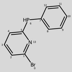 Brc1cccc(Pc2ccccc2)n1